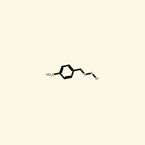 CCSSCc1ccc(S(=O)(=O)O)cc1